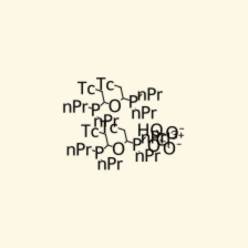 CCCP(CCC)C([CH2][Tc])OC([CH2][Tc])P(CCC)CCC.CCCP(CCC)C([CH2][Tc])OC([CH2][Tc])P(CCC)CCC.[O-][Cl+3]([O-])([O-])O